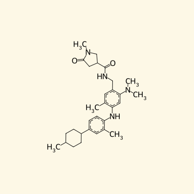 Cc1cc(C2CCC(C)CC2)ccc1Nc1cc(N(C)C)c(CNC(=O)C2CC(=O)N(C)C2)cc1C